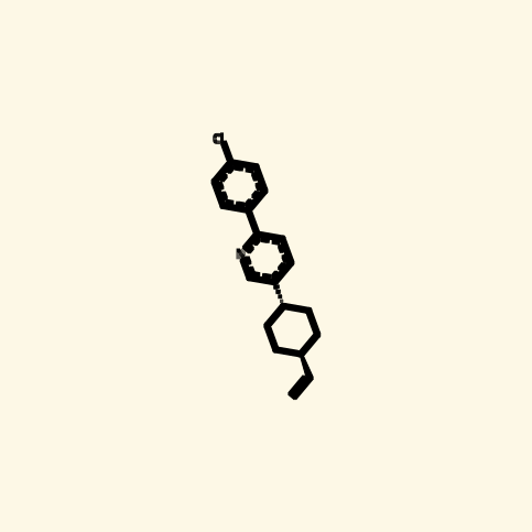 C=C[C@H]1CC[C@H](c2ccc(-c3ccc(Cl)cc3)nc2)CC1